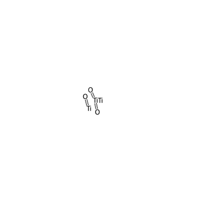 [O]=[Ti].[O]=[Ti]=[O].[Ti]